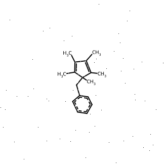 CC1=C(C)C(C)(Cc2ccccc2)C(C)=C1C